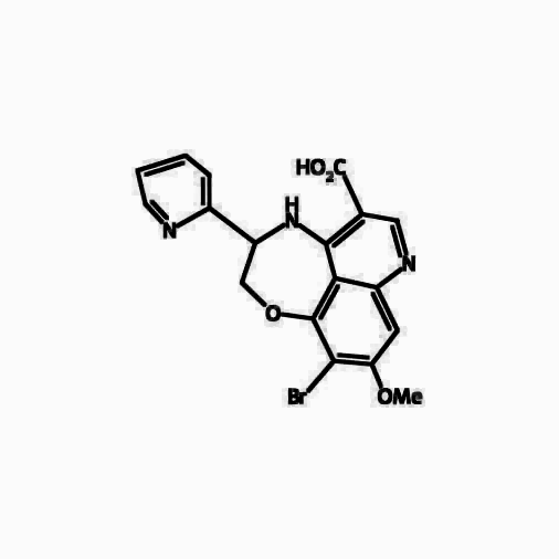 COc1cc2ncc(C(=O)O)c3c2c(c1Br)OCC(c1ccccn1)N3